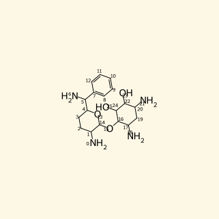 NC1CCC(C(N)c2ccccc2)OC1OC1C(N)CC(N)C(O)C1O